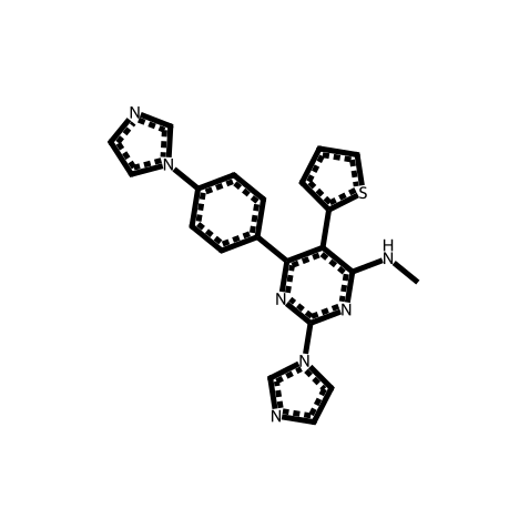 CNc1nc(-n2ccnc2)nc(-c2ccc(-n3ccnc3)cc2)c1-c1cccs1